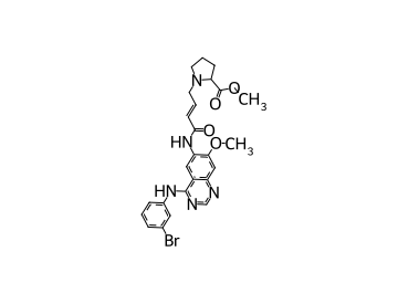 COC(=O)C1CCCN1C/C=C/C(=O)Nc1cc2c(Nc3cccc(Br)c3)ncnc2cc1OC